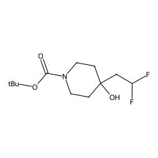 CC(C)(C)OC(=O)N1CCC(O)(CC(F)F)CC1